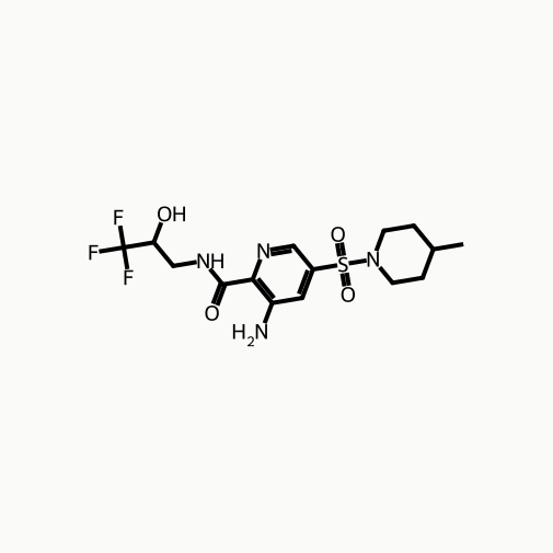 CC1CCN(S(=O)(=O)c2cnc(C(=O)NCC(O)C(F)(F)F)c(N)c2)CC1